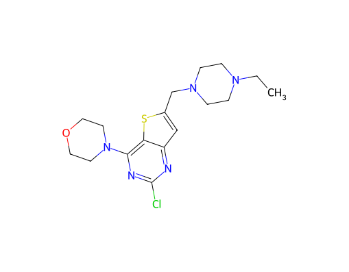 CCN1CCN(Cc2cc3nc(Cl)nc(N4CCOCC4)c3s2)CC1